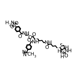 CC1(c2ccc(C(=O)N[C@@H](CCCCNC(=O)CCCC[C@@H]3SC[C@@H]4NC(=O)N[C@@H]43)C(=O)OCCNC(=O)c3ccc(S(N)(=O)=O)cc3)cc2)N=N1